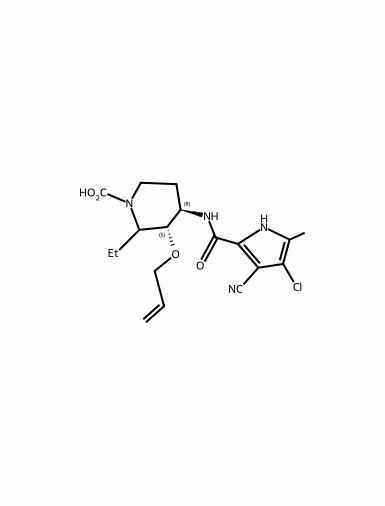 C=CCO[C@@H]1C(CC)N(C(=O)O)CC[C@H]1NC(=O)c1[nH]c(C)c(Cl)c1C#N